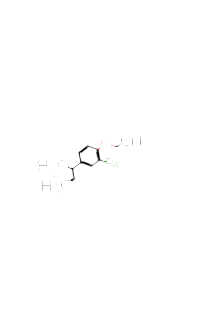 [CH2]C(C=C)c1ccc(OCC)c(Br)c1